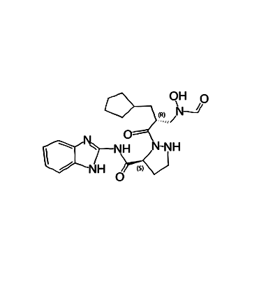 O=CN(O)C[C@@H](CC1CCCC1)C(=O)N1NCC[C@H]1C(=O)Nc1nc2ccccc2[nH]1